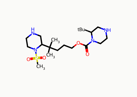 CC(C)(C)C1CNCCN1C(=O)OCCCC(C)(C)C1CNCCN1S(C)(=O)=O